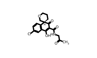 CC(=O)CNC(=O)C1=C(O)c2cc(Cl)ccc2[C@@]2(CCCOC2)C1=O